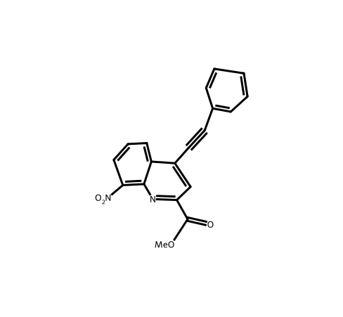 COC(=O)c1cc(C#Cc2ccccc2)c2cccc([N+](=O)[O-])c2n1